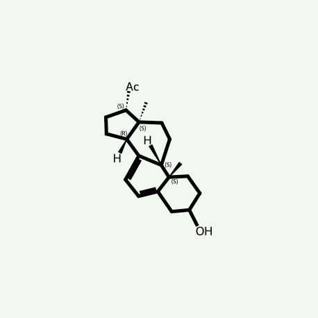 CC(=O)[C@H]1CC[C@H]2C3=CC=C4CC(O)CC[C@@]4(C)[C@H]3CC[C@]12C